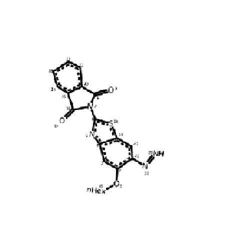 CCCCCCOc1cc2nc(N3C(=O)c4ccccc4C3=O)sc2cc1N=N